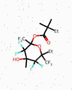 CCC(C)(C)C(=O)OC1(C(F)(F)F)OC(CC)(C(F)(F)F)C(F)(F)C(C)(O)C1(F)F